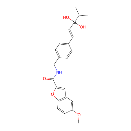 COc1ccc2oc(C(=O)NCc3ccc(/C=C/[Si](O)(O)C(C)C)cc3)cc2c1